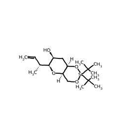 C=C[C@@H](C)[C@@H]1O[C@@H]2CO[Si](C(C)(C)C)(C(C)(C)C)O[C@@H]2C[C@@H]1O